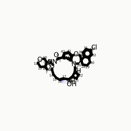 O=C1NS(=O)(=O)[C@@H](CC2CCOCC2)CC/C=C/[C@H](O)[C@@H]2CC[C@H]2CN2C[C@@]3(CCCc4cc(Cl)ccc43)COc3ccc1cc32